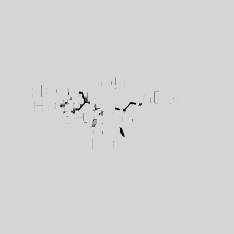 CC=COC(CCCCCCCCCCCC)CO[PH](=O)OC(CC(=O)O)C[N+](C)(C)C.[OH-]